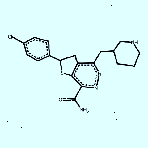 NC(=O)c1nnc(CC2CCCNC2)c2c1SC(c1ccc(Cl)cc1)C2